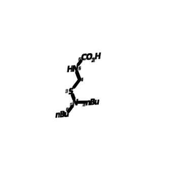 CCCCN(CCCC)SCNC(=O)O